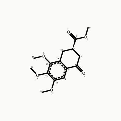 COC(=O)[C@H]1CC(=O)c2cc(OC)c(OC)c(OC)c2C1